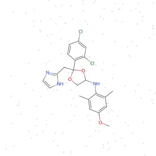 COc1cc(C)c(NC2COC(Cc3ncc[nH]3)(c3ccc(Cl)cc3Cl)O2)c(C)c1